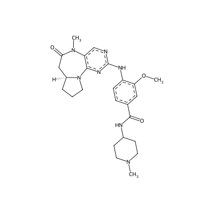 COc1cc(C(=O)NC2CCN(C)CC2)ccc1Nc1ncc2c(n1)N1CCC[C@H]1CC(=O)N2C